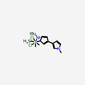 Cn1ccc(C2=C[CH]([Ti]([CH3])([CH3])([SiH3])([Cl])([Cl])[NH]C(C)(C)C)C=C2)c1